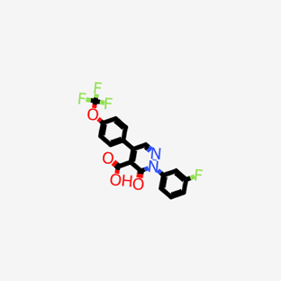 O=C(O)c1c(-c2ccc(OC(F)(F)F)cc2)cnn(-c2cccc(F)c2)c1=O